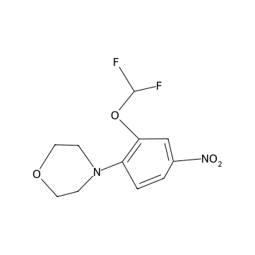 O=[N+]([O-])c1ccc(N2CCOCC2)c(OC(F)F)c1